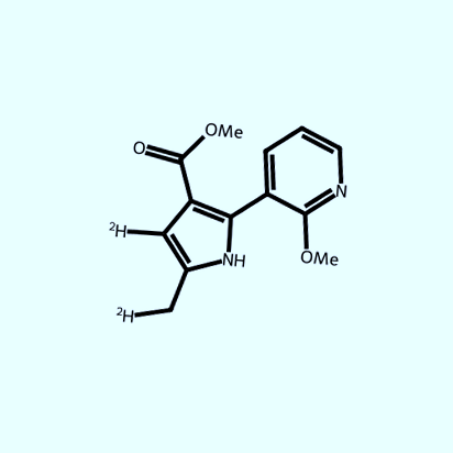 [2H]Cc1[nH]c(-c2cccnc2OC)c(C(=O)OC)c1[2H]